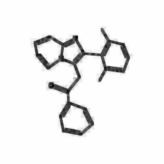 Cc1cccc(C)c1-c1nc2ccccn2c1CC(=O)c1ccccc1